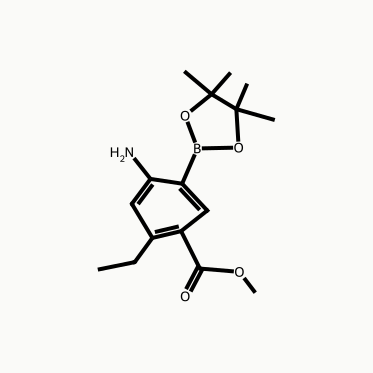 CCc1cc(N)c(B2OC(C)(C)C(C)(C)O2)cc1C(=O)OC